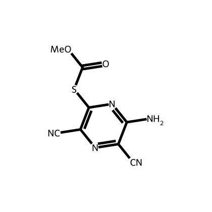 COC(=O)Sc1nc(N)c(C#N)nc1C#N